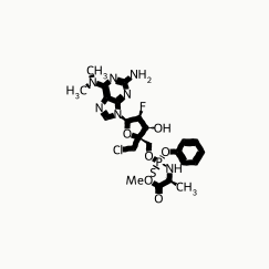 COC(=O)[C@H](C)N[P@](=S)(OC[C@@]1(CCl)O[C@@H](n2cnc3c(N(C)C)nc(N)nc32)[C@@H](F)[C@@H]1O)Oc1ccccc1